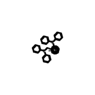 c1ccc(P(C[C@@]23[CH]4[CH]5[CH]6[C]2(P(c2ccccc2)c2ccccc2)[Fe]56432789[CH]3[CH]2[CH]7[CH]8[CH]39)c2ccccc2)cc1